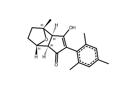 Cc1cc(C)c(C2=C(O)[C@H]3[C@@H](C2=O)[C@@H]2CC[C@@]3(C)O2)c(C)c1